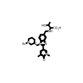 CC(=O)N1CCC[C@@H](Cn2c(-c3cc(C)c(=O)n(C)c3)nc3cc(CNC(C(=O)O)C(C)O)ccc32)C1